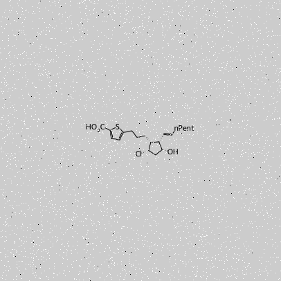 CCCCCC=C[C@H]1[C@@H](CCCc2ccc(C(=O)O)s2)[C@@H](Cl)C[C@H]1O